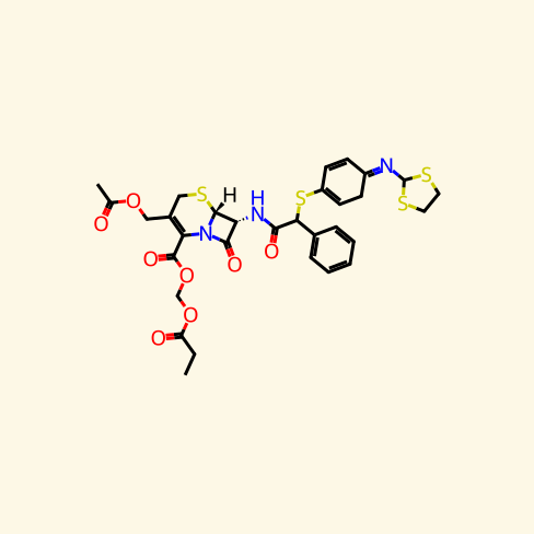 CCC(=O)OCOC(=O)C1=C(COC(C)=O)CS[C@@H]2[C@H](NC(=O)C(SC3=CCC(=NC4SCCS4)C=C3)c3ccccc3)C(=O)N12